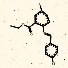 CCOC(=O)c1cc(F)ccc1N=Cc1ccc(Cl)cc1